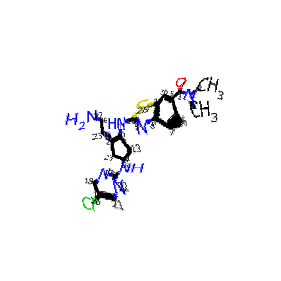 CN(C)C(=O)c1ccc2nc(NC3CC(Nc4ncc(Cl)cn4)C/C3=C/CN)sc2c1